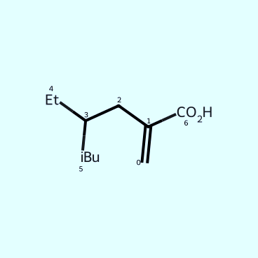 C=C(CC(CC)C(C)CC)C(=O)O